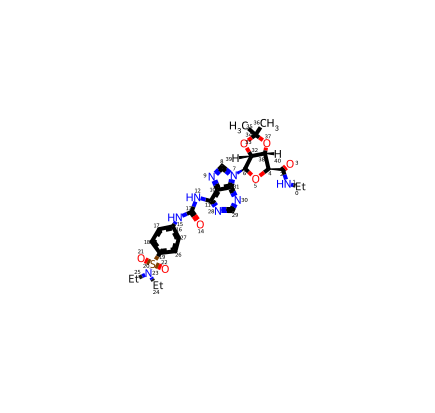 CCNC(=O)[C@H]1O[C@@H](n2cnc3c(NC(=O)Nc4ccc(S(=O)(=O)N(CC)CC)cc4)ncnc32)[C@@H]2OC(C)(C)O[C@@H]21